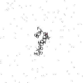 C=C(C)[C@@H]1CC[C@]2(NCC[C@H](CF)N3CCS(=O)(=O)CC3)CC[C@]3(C)[C@H](CC[C@@H]4[C@@]5(C)CC[C@H](OC(=O)[C@H]6[C@@H](C(=O)O)C6(C)C)C(C)(C)[C@@H]5CC[C@]43C)[C@@H]12